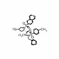 Cc1ccc(S(=O)(=O)N(Cc2ccccc2)N(C)C(=O)[C@@H]2C[C@@H](S)CN2S(=O)(=O)c2ccc3ccccc3c2)cc1